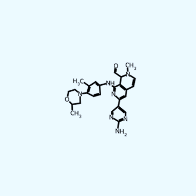 Cc1cc(Nc2nc(-c3cnc(N)nc3)cc3c2C(C=O)N(C)C=C3)ccc1N1CCOC(C)C1